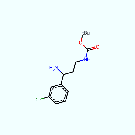 CC(C)(C)OC(=O)NCCC(N)c1cccc(Cl)c1